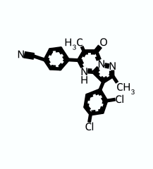 Cc1nn2c(=O)c(C)c(-c3ccc(C#N)cc3)[nH]c2c1-c1ccc(Cl)cc1Cl